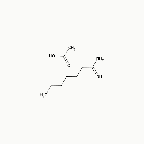 CC(=O)O.CCCCCCC(=N)N